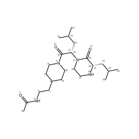 CC(=O)NCCC1CCN(C(=O)[C@H](CC(C)C)N2CCN[C@@H](CC(C)C)C2=O)CC1